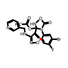 O=C1ONC(OC(=O)C(F)(F)F)(c2nonc2NCc2cccnc2)N1c1ccc(F)c(Br)c1